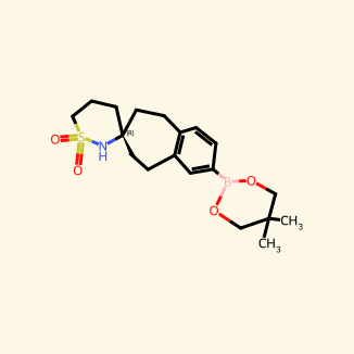 CC1(C)COB(c2ccc3c(c2)CC[C@@]2(CCCS(=O)(=O)N2)CC3)OC1